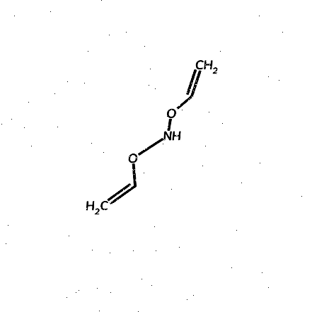 C=CONOC=C